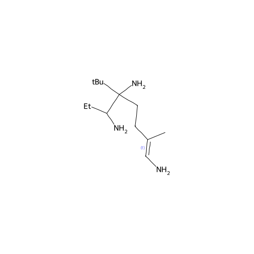 CCC(N)C(N)(CC/C(C)=C/N)C(C)(C)C